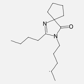 C[CH]CCCN1C(=O)C2(CCCC2)N=C1CCCC